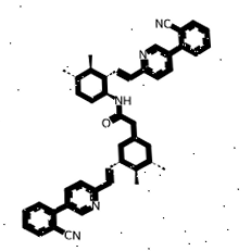 C[C@H]1[C@H](/C=C/c2ccc(-c3ccccc3C#N)cn2)[C@@H](NC(=O)CC2C[C@@H](/C=C/c3ccc(-c4ccccc4C#N)cn3)[C@H](C)[C@@H](C)C2)CC[C@@H]1C